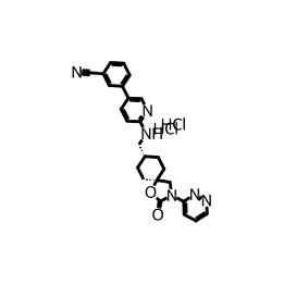 Cl.Cl.N#Cc1cccc(-c2ccc(NC[C@H]3CC[C@]4(CC3)CN(c3cccnn3)C(=O)O4)nc2)c1